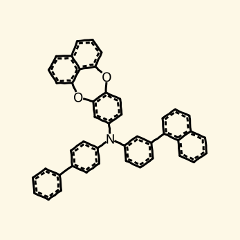 c1ccc(-c2ccc(N(c3cccc(-c4cccc5ccccc45)c3)c3ccc4c(c3)Oc3cccc5cccc(c35)O4)cc2)cc1